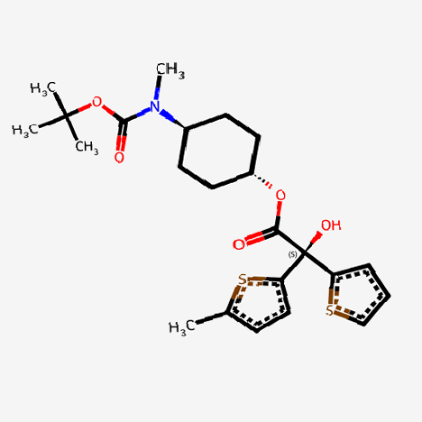 Cc1ccc([C@](O)(C(=O)O[C@H]2CC[C@H](N(C)C(=O)OC(C)(C)C)CC2)c2cccs2)s1